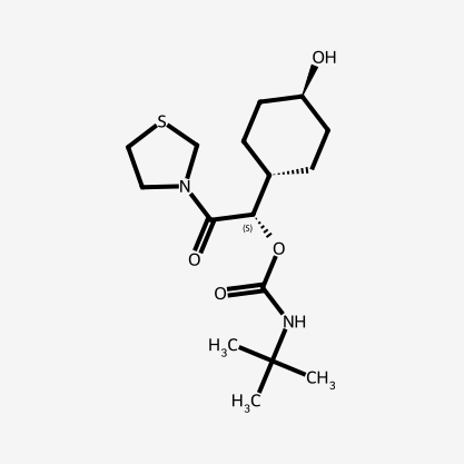 CC(C)(C)NC(=O)O[C@H](C(=O)N1CCSC1)[C@H]1CC[C@H](O)CC1